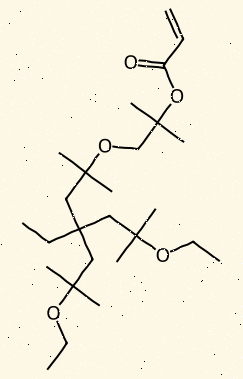 C=CC(=O)OC(C)(C)COC(C)(C)CC(CC)(CC(C)(C)OCC)CC(C)(C)OCC